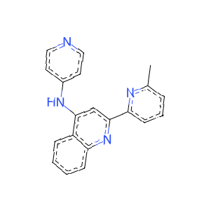 Cc1cccc(-c2cc(Nc3ccncc3)c3ccccc3n2)n1